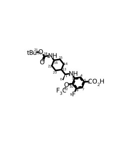 C[C@H](Nc1cc(C(=O)O)cc(F)c1OC(F)(F)F)C1CCC(NC(=O)OC(C)(C)C)CC1